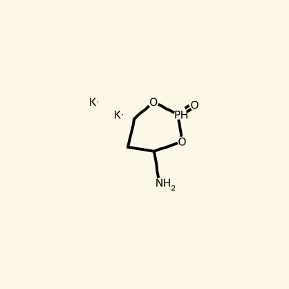 NC1CCO[PH](=O)O1.[K].[K]